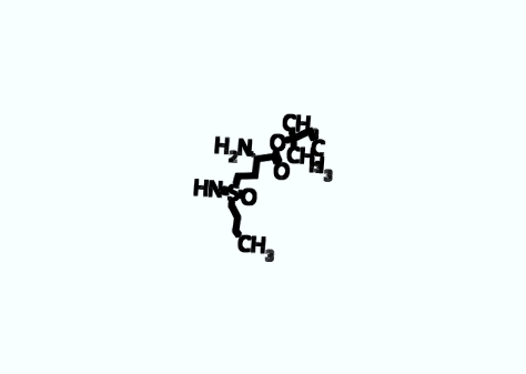 CCCCS(=N)(=O)CC[C@H](N)C(=O)OC(C)(C)CC